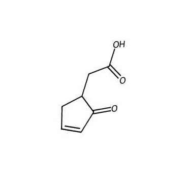 O=C(O)CC1CC=CC1=O